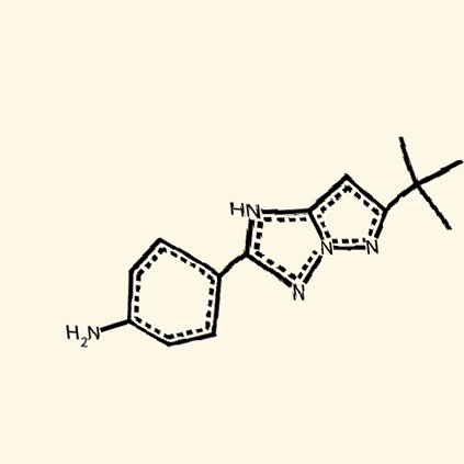 CC(C)(C)c1cc2[nH]c(-c3ccc(N)cc3)nn2n1